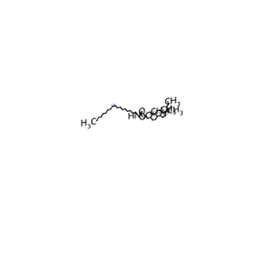 CCCCCCCC/C=C\CCCCCCCCNC(=O)O[C@@H]1CC[C@@]2(C)C(CCC3C2CC[C@@]2(C)C3CC[C@@H]2[C@H](C)CCC)C1